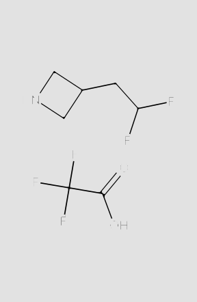 FC(F)CC1CNC1.O=C(O)C(F)(F)F